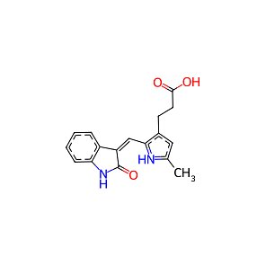 Cc1cc(CCC(=O)O)c(/C=C2\C(=O)Nc3ccccc32)[nH]1